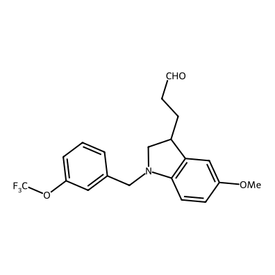 COc1ccc2c(c1)C(CCC=O)CN2Cc1cccc(OC(F)(F)F)c1